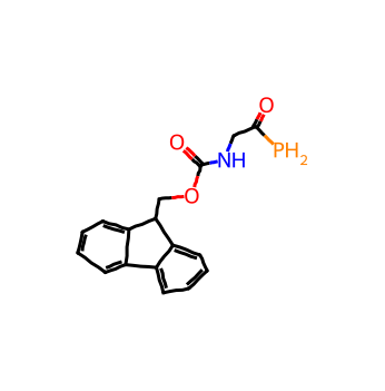 O=C(P)CNC(=O)OCC1c2ccccc2-c2ccccc21